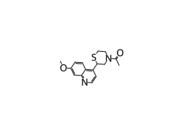 COc1ccc2c(C3CN(C(C)=O)CCS3)ccnc2c1